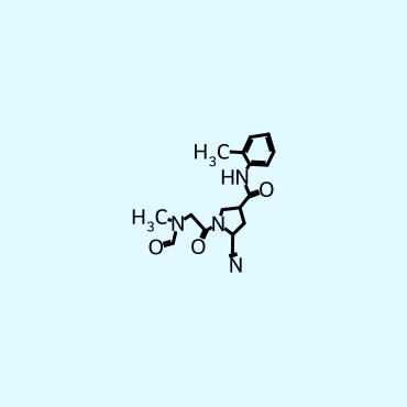 Cc1ccccc1NC(=O)C1CC(C#N)N(C(=O)CN(C)C=O)C1